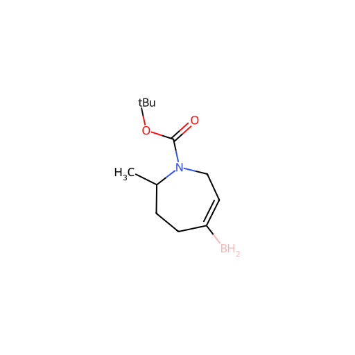 BC1=CCN(C(=O)OC(C)(C)C)C(C)CC1